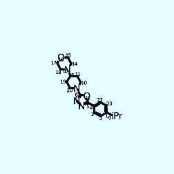 CC(C)c1ccc(-c2nnc(N3CCC(N4CCOCC4)CC3)o2)cc1